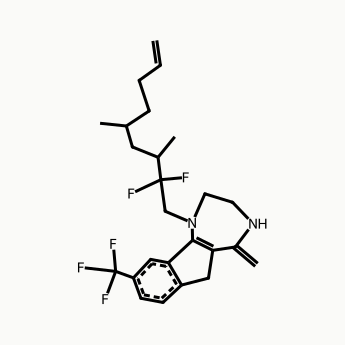 C=CCCC(C)CC(C)C(F)(F)CN1CCNC(=C)C2=C1c1cc(C(F)(F)F)ccc1C2